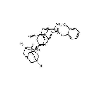 N#Cc1cnc(NCc2ccccc2Cl)nc1NC[C@]12CC3C[C@H](C1)[C@@H](NC1CCN(CC(N)=O)CC1)[C@@H](C3)C2